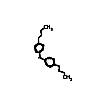 CCCCc1ccc([CH]c2ccc(CCCC)cc2)cc1